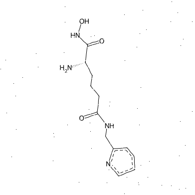 N[C@@H](CCCC(=O)NCc1ccccn1)C(=O)NO